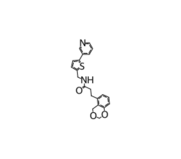 O=C(CCc1cccc2c1COCO2)NCc1ccc(-c2cccnc2)s1